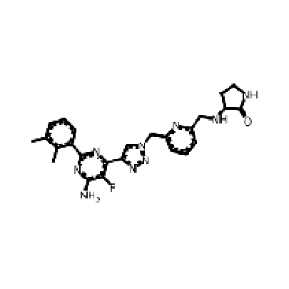 Cc1cccc(-c2nc(N)c(F)c(-c3cn(Cc4cccc(CNC5CCNC5=O)n4)nn3)n2)c1C